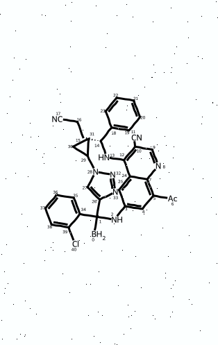 BC(Nc1cc(C(C)=O)c2ncc(C#N)c(N[C@H](CCC#N)c3ccccc3)c2c1)(c1cn(C2CC2)nn1)c1ccccc1Cl